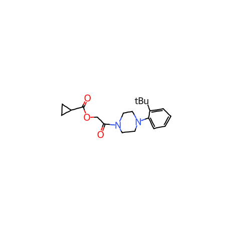 CC(C)(C)c1ccccc1N1CCN(C(=O)COC(=O)C2CC2)CC1